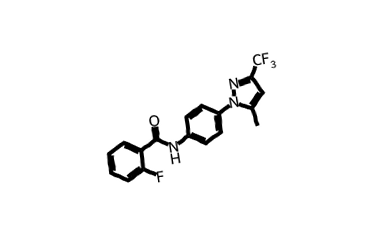 Cc1cc(C(F)(F)F)nn1-c1ccc(NC(=O)c2ccccc2F)cc1